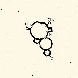 CO[C@H]1/C=C/CCN(C)C(=O)CCc2ccc3c(c2)N(CCCCc2cc(Cl)ccc2CO3)C[C@@H]2CC[C@H]21